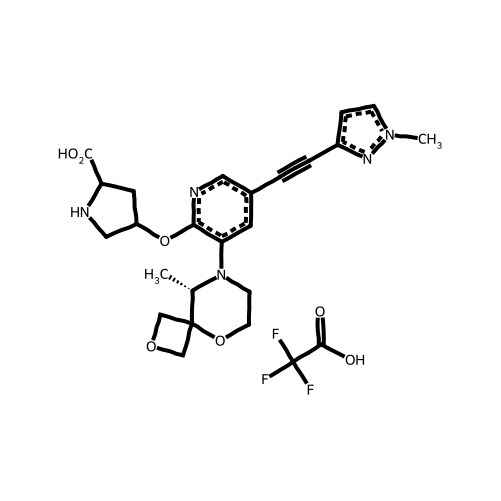 C[C@@H]1N(c2cc(C#Cc3ccn(C)n3)cnc2OC2CNC(C(=O)O)C2)CCOC12COC2.O=C(O)C(F)(F)F